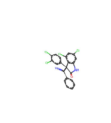 N=C(c1ccccc1)C1(c2ccc(Cl)c(Cl)c2)C(=O)Nc2cc(Cl)cc(Cl)c21